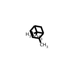 CC1C=CC2CC1C2(C)C